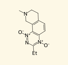 CCc1n[n+]([O-])c2c3c(ccc2[n+]1[O-])CCN(C)C3